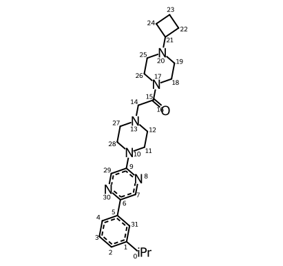 CC(C)c1cccc(-c2cnc(N3CCN(CC(=O)N4CCN(C5CCC5)CC4)CC3)cn2)c1